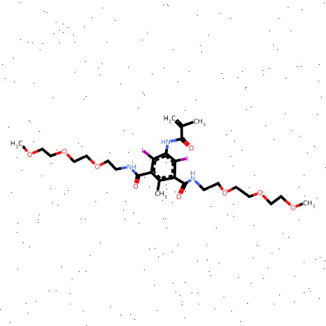 C=C(C)C(=O)Nc1c(I)c(C(=O)NCCOCCOCCOC)c(C)c(C(=O)NCCOCCOCCOC)c1I